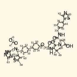 COC(=O)C[C@@H]1N=C(c2ccc(-c3ccc(OCC(=O)NC(C(=O)N4C[C@H](O)C[C@H]4C(=O)NCc4ccc(-c5scnc5C)cc4)C(C)(C)C)cc3)cc2)c2c(sc(C)c2C)-n2c(C)nnc21